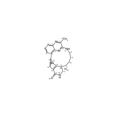 Cc1nc2cccc3c2nc1NCCCC[C@H]1CNC(=O)c2cc-3[nH]c21